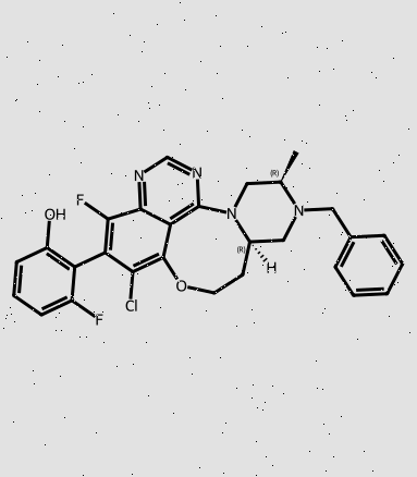 C[C@@H]1CN2c3ncnc4c(F)c(-c5c(O)cccc5F)c(Cl)c(c34)OCC[C@@H]2CN1Cc1ccccc1